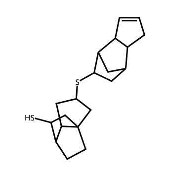 SC1CC23CCC1C2CC(SC1CC2CC1C1C=CCC21)C3